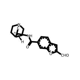 O=Cc1cc2ccc(C(=O)N[C@H]3CN4CCC3CC4)cc2o1